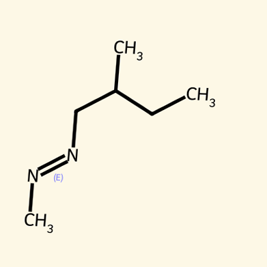 CCC(C)C/N=N/C